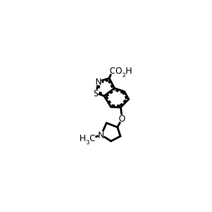 CN1CCC(Oc2ccc3c(C(=O)O)nsc3c2)C1